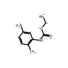 Cc1ccc([N+](=O)[O-])cc1NC(=O)OCC(C)(C)C